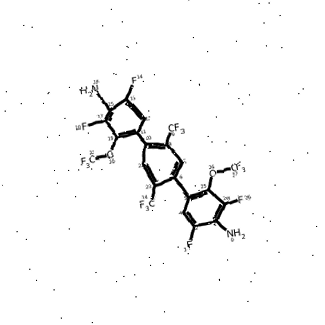 Nc1c(F)cc(-c2cc(C(F)(F)F)c(-c3cc(F)c(N)c(F)c3OC(F)(F)F)cc2C(F)(F)F)c(OC(F)(F)F)c1F